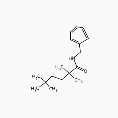 CC(C)(C)CCC(C)(C)C(=O)NCc1ccccc1